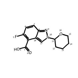 O=C(O)c1c(F)ccc2nn(C3CCCCO3)cc12